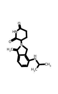 C=C1c2cccc(NC(C)C)c2CN1C1CCC(=O)NC1=O